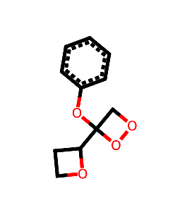 c1ccc(OC2(C3CCO3)COO2)cc1